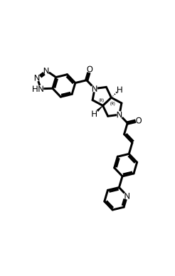 O=C(C=Cc1ccc(-c2ccccn2)cc1)N1C[C@@H]2CN(C(=O)c3ccc4[nH]nnc4c3)C[C@H]2C1